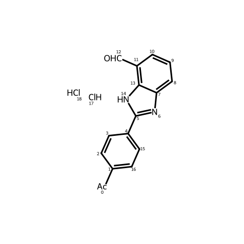 CC(=O)c1ccc(-c2nc3cccc(C=O)c3[nH]2)cc1.Cl.Cl